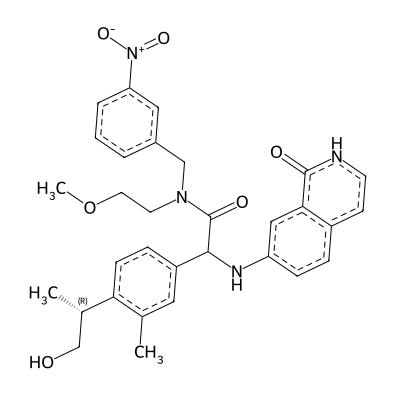 COCCN(Cc1cccc([N+](=O)[O-])c1)C(=O)C(Nc1ccc2cc[nH]c(=O)c2c1)c1ccc([C@@H](C)CO)c(C)c1